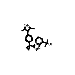 Cc1noc(C)c1-c1ccc(C2(c3nnc4c(C(C)(C)O)cccn34)CC2)cc1